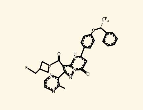 Cc1nccnc1-c1nn2c(=O)cc(-c3ccc(O[C@@H](c4ccccc4)C(F)(F)F)cc3)[nH]c2c1C(=O)N1CC(CF)C1